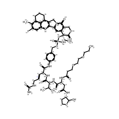 CCCOCCOCCC(=O)N[C@@H](CC(=O)N[C@H]1CCOC1O)C(=O)N[C@H](C(=O)N[C@@H](/C=C/CNC(N)=O)C(=O)Nc1ccc(COP(=O)(O)O[C@]2(CC)C(=O)OCc3c2cc2n(c3=O)Cc3c-2nc2cc(F)c(C)c4c2c3CCC4)cc1)C(C)C